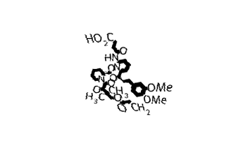 C=CC(=O)OCC(C)(C)C(=O)C(=O)N1CCCC[C@H]1C(=O)O[C@H](CCc1ccc(OC)c(OC)c1)c1cccc(NC(=O)CCC(=O)O)n1